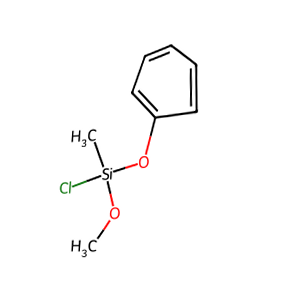 CO[Si](C)(Cl)Oc1ccccc1